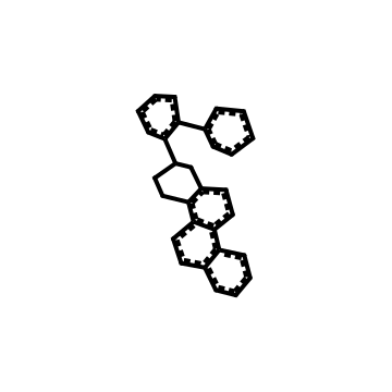 c1ccc(-c2ccccc2C2CCc3c(ccc4c3ccc3ccccc34)C2)cc1